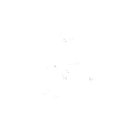 O=C1c2cc3c(cc2[C@@H]2[C@H]1c1ccc([N+](=O)[O-])cc1C(=O)N2CCCBr)OCO3